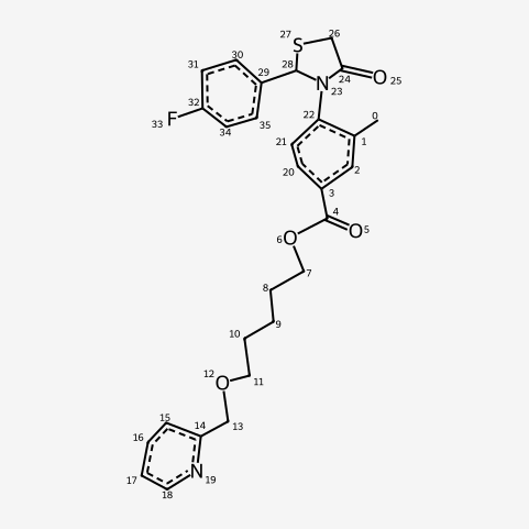 Cc1cc(C(=O)OCCCCCOCc2ccccn2)ccc1N1C(=O)CSC1c1ccc(F)cc1